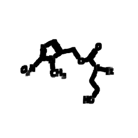 CCN(CCO)C(=O)OCc1cnc([N+](=O)[O-])n1C